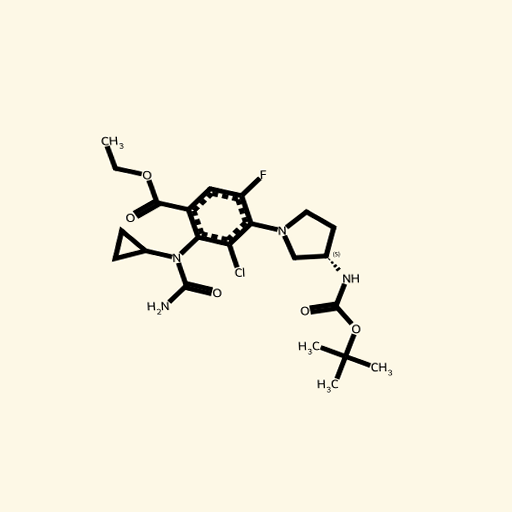 CCOC(=O)c1cc(F)c(N2CC[C@H](NC(=O)OC(C)(C)C)C2)c(Cl)c1N(C(N)=O)C1CC1